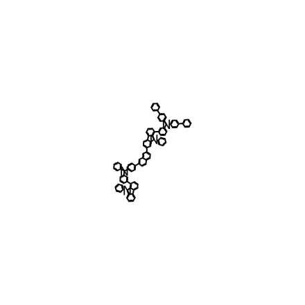 c1ccc(-c2ccc(N(c3ccc(-c4ccccc4)cc3)c3cccc(-c4cccc5c6ccc(-c7ccc8ccc(-c9ccc(N(c%10ccccc%10)c%10cccc(-c%11cccc%12c%13ccccc%13n(-c%13ccccc%13)c%11%12)c%10)cc9)cc8c7)cc6n(-c6ccccc6)c45)c3)cc2)cc1